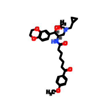 COc1ccc(C(=O)CCCCCC(=O)N[C@H](CN(C)CC2CC2)[C@H](O)c2ccc3c(c2)OCCO3)cc1